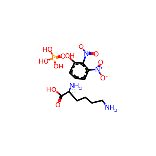 NCCCC[C@H](N)C(=O)O.O=P(O)(O)O.O=[N+]([O-])c1cccc(O)c1[N+](=O)[O-]